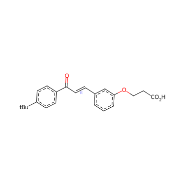 CC(C)(C)c1ccc(C(=O)/C=C/c2cccc(OCCC(=O)O)c2)cc1